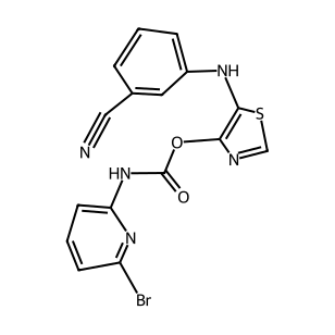 N#Cc1cccc(Nc2scnc2OC(=O)Nc2cccc(Br)n2)c1